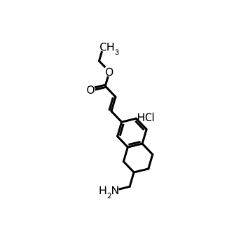 CCOC(=O)C=Cc1ccc2c(c1)CC(CN)CC2.Cl